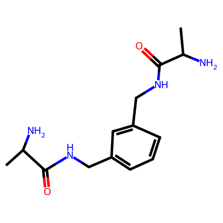 CC(N)C(=O)NCc1cccc(CNC(=O)C(C)N)c1